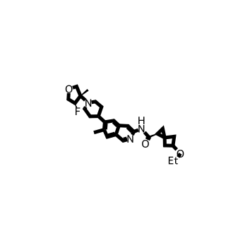 CCOC1CC2(C1)C[C@@H]2C(=O)Nc1cc2cc(C3CCN([C@@]4(C)COC[C@H]4F)CC3)c(C)cc2cn1